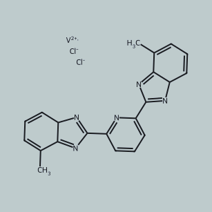 CC1=CC=CC2N=C(c3cccc(C4=NC5C=CC=C(C)C5=N4)n3)N=C12.[Cl-].[Cl-].[V+2]